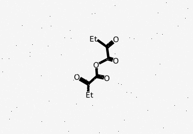 CCC(=O)C(=O)OC(=O)C(=O)CC